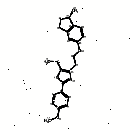 CCc1oc(-c2ccc(OC)cc2)nc1CCOc1ccc2c(c1)CC[C@H]2C